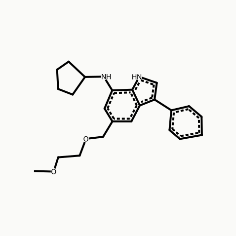 COCCOCc1cc(NC2CCCC2)c2[nH]cc(-c3ccccc3)c2c1